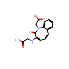 O=C(O)CNC1=CC=Cc2ccccc2N(CC(=O)O)C1=O